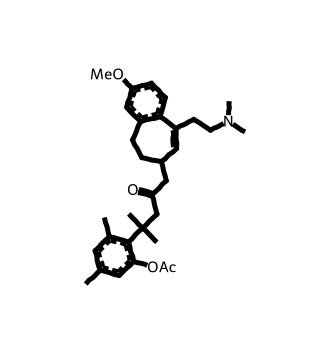 COc1ccc2c(c1)CCC(CC(=O)CC(C)(C)c1c(C)cc(C)cc1OC(C)=O)C=C2CCN(C)C